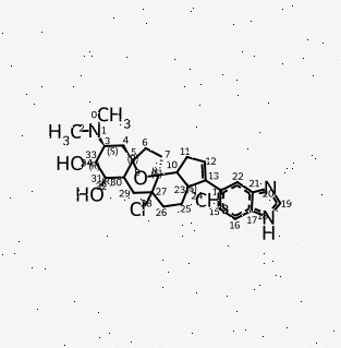 CN(C)[C@H]1C[C@@]23CC[C@]4(O2)C2CC=C(c5ccc6[nH]cnc6c5)[C@@]2(C)CCC4(Cl)CC3[C@@H](O)[C@@H]1O